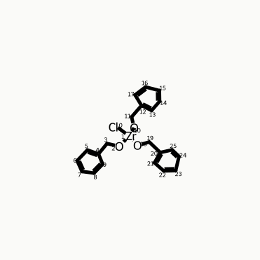 [Cl][Zr]([O]Cc1ccccc1)([O]Cc1ccccc1)[O]Cc1ccccc1